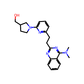 CN(C)c1nc(CCc2cccc(N3CCC(CO)C3)n2)nc2ccccc12